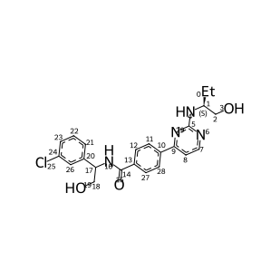 CC[C@@H](CO)Nc1nccc(-c2ccc(C(=O)NC(CO)c3cccc(Cl)c3)cc2)n1